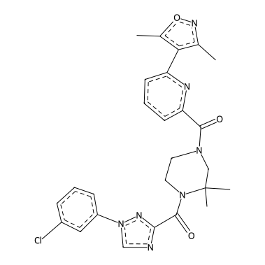 Cc1noc(C)c1-c1cccc(C(=O)N2CCN(C(=O)c3ncn(-c4cccc(Cl)c4)n3)C(C)(C)C2)n1